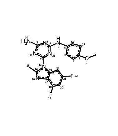 COc1ccc(Nc2nc(N)nc(-n3c(C)nc4c(F)cc(F)cc43)n2)cc1